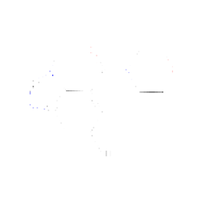 CC1C=C(C(=O)N2CCOCC2)c2c(ncn2C)C1